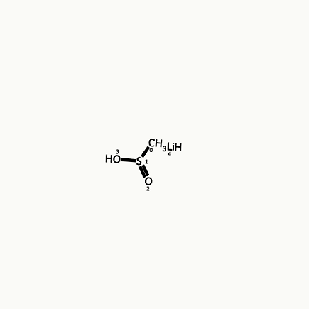 CS(=O)O.[LiH]